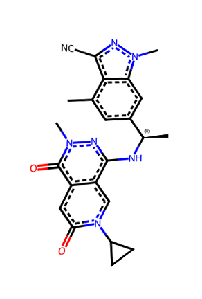 Cc1cc([C@@H](C)Nc2nn(C)c(=O)c3cc(=O)n(C4CC4)cc23)cc2c1c(C#N)nn2C